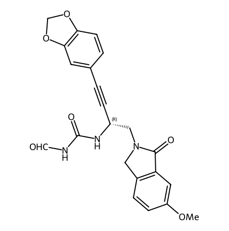 COc1ccc2c(c1)C(=O)N(C[C@@H](C#Cc1ccc3c(c1)OCO3)NC(=O)NC=O)C2